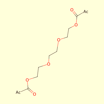 CC(=O)C(=O)OCCOCCOCCOC(=O)C(C)=O